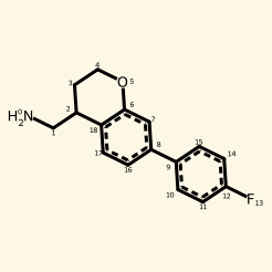 NCC1CCOc2cc(-c3ccc(F)cc3)ccc21